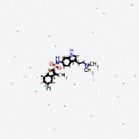 Cc1c(S(=O)(=O)Nc2ccc3c(CCN(C)C)c[nH]c3c2)sc2ccc(Cl)cc12